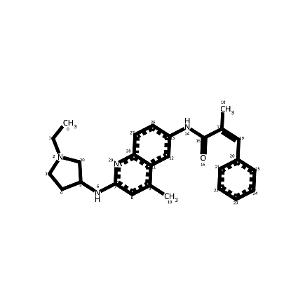 CCN1CCC(Nc2cc(C)c3cc(NC(=O)/C(C)=C\c4ccccc4)ccc3n2)C1